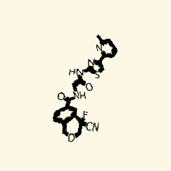 Cc1cccc(-c2csc(NC(=O)CNC(=O)c3ccc4c(c3)C(F)(C#N)COC4)n2)n1